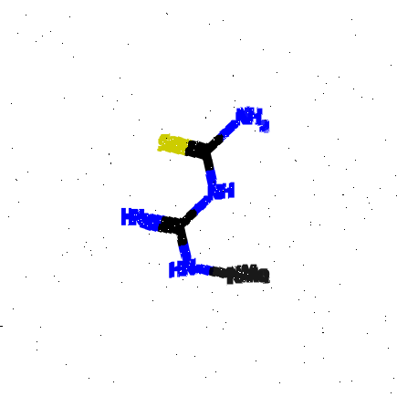 CNNC(=N)NC(N)=S